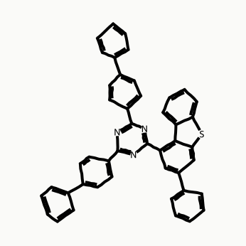 c1ccc(-c2ccc(-c3nc(-c4ccc(-c5ccccc5)cc4)nc(-c4cc(-c5ccccc5)cc5sc6ccccc6c45)n3)cc2)cc1